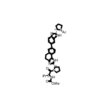 COC(=O)N[C@H](C(=O)N1CCC[C@H]1c1nc2c([nH]1)-c1ccc(-c3ccc4nc([C@@H]5CCCN5C(C)=O)[nH]c4c3)cc1CC2)C(C)C